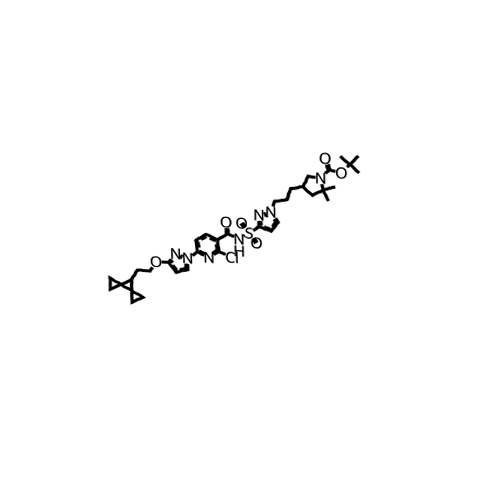 CC(C)(C)OC(=O)N1CC(CCCn2ccc(S(=O)(=O)NC(=O)c3ccc(-n4ccc(OCCC5C6(CC6)C56CC6)n4)nc3Cl)n2)CC1(C)C